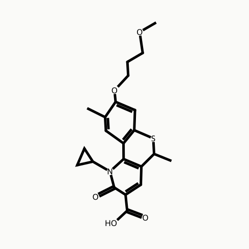 COCCCOc1cc2c(cc1C)-c1c(cc(C(=O)O)c(=O)n1C1CC1)C(C)S2